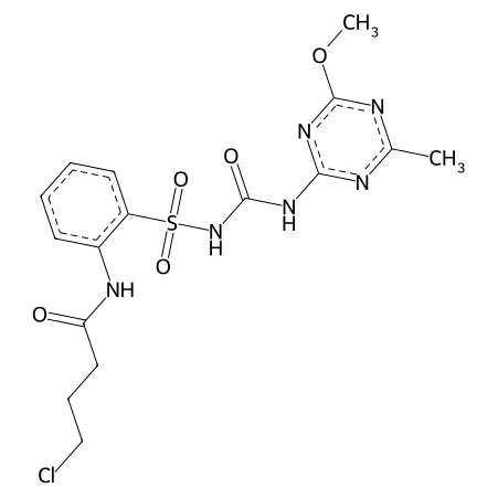 COc1nc(C)nc(NC(=O)NS(=O)(=O)c2ccccc2NC(=O)CCCCl)n1